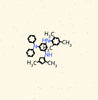 CC1=CC(C)=C(Nc2cc(Nc3c(C)cc(C)cc3C)cc(N(c3ccccc3)c3ccccc3)c2)C1